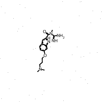 CN(C)CCCOc1ccc2cc(C(=O)N(C)C(=N)N)[nH]c2c1